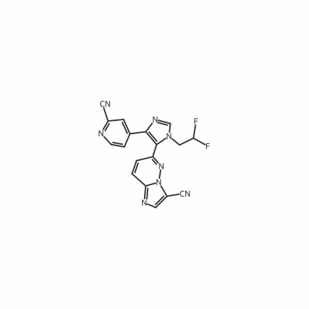 N#Cc1cc(-c2ncn(CC(F)F)c2-c2ccc3ncc(C#N)n3n2)ccn1